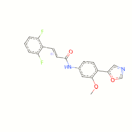 COc1cc(NC(=O)/C=C/c2c(F)cccc2F)ccc1-c1cnco1